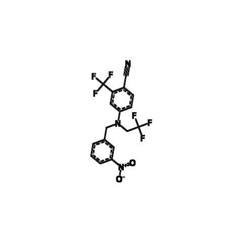 N#Cc1ccc(N(Cc2cccc([N+](=O)[O-])c2)CC(F)(F)F)cc1C(F)(F)F